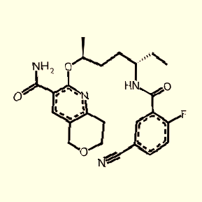 CC[C@@H](CC[C@H](C)Oc1nc2c(cc1C(N)=O)COCC2)NC(=O)c1cc(C#N)ccc1F